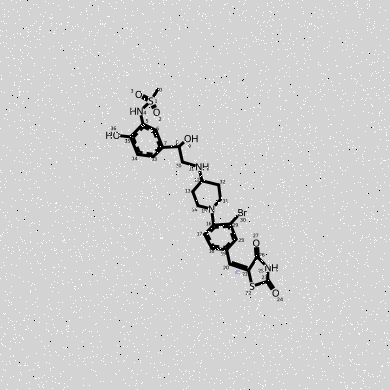 CS(=O)(=O)Nc1cc(C(O)CNC2CCN(c3ccc(/C=C4/SC(=O)NC4=O)cc3Br)CC2)ccc1O